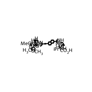 COC(=O)N[C@H](C(=O)N1[C@@H]2C[C@@H]2C[C@H]1c1nc(C#Cc2ccc3cc(-c4c[nH]c([C@@H]5CC6C[C@H]6N5C(=O)[C@@H](NC(=O)O)C(C)C)n4)ccc3c2)c[nH]1)C1C[C@@H](C)O[C@@H](C)C1